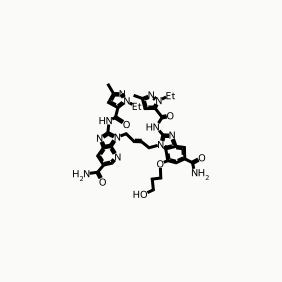 CCn1nc(C)cc1C(=O)Nc1nc2cc(C(N)=O)cnc2n1CC=CCn1c(NC(=O)c2cc(C)nn2CC)nc2cc(C(N)=O)cc(OCCCO)c21